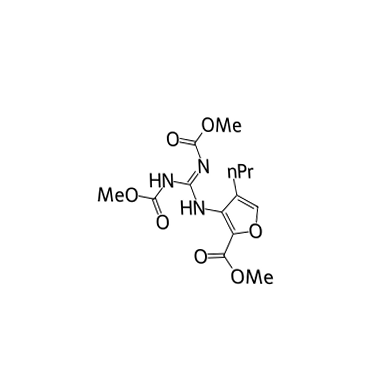 CCCc1coc(C(=O)OC)c1N/C(=N/C(=O)OC)NC(=O)OC